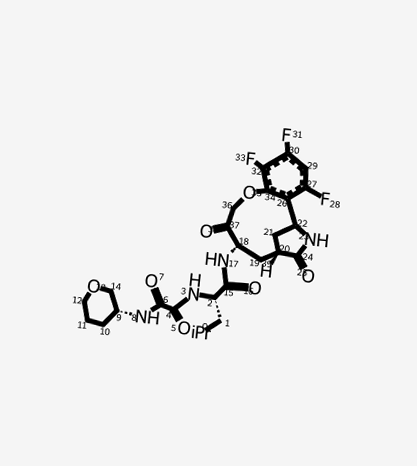 CC(C)C[C@H](NC(=O)C(=O)N[C@@H]1CCCOC1)C(=O)N[C@H]1C[C@@H]2CC(NC2=O)c2c(F)cc(F)c(F)c2OCC1=O